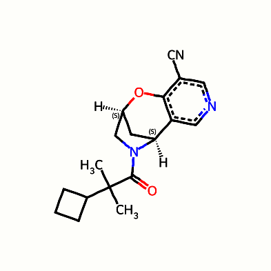 CC(C)(C(=O)N1C[C@@H]2C[C@H]1c1cncc(C#N)c1O2)C1CCC1